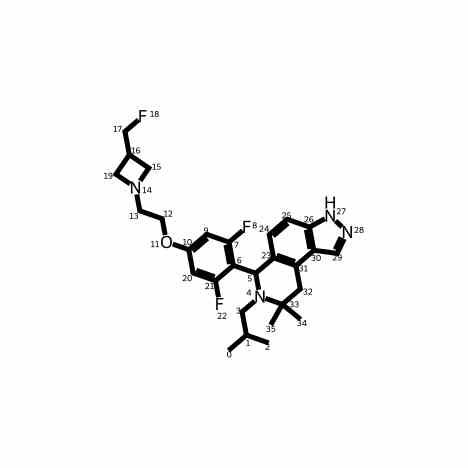 CC(C)CN1C(c2c(F)cc(OCCN3CC(CF)C3)cc2F)c2ccc3[nH]ncc3c2CC1(C)C